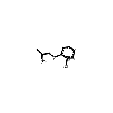 CC(N)COc1ccccc1Cl